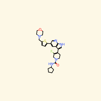 O=C(NC1CCCC1)N1CCC(c2c[nH]c3ncc(-c4ccc(CN5CCOCC5)s4)cc23)=C(F)C1